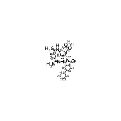 C[C@@H](NC(=O)C1CC2(CN1C(=O)CN1Cc3cc(-c4ccccc4)ccc3C1=O)OCCO2)c1cc(C(=N)N)cs1